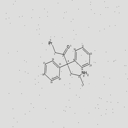 CC(C)CC(=O)C(CC(C)N)(c1ccccc1)c1ccccc1